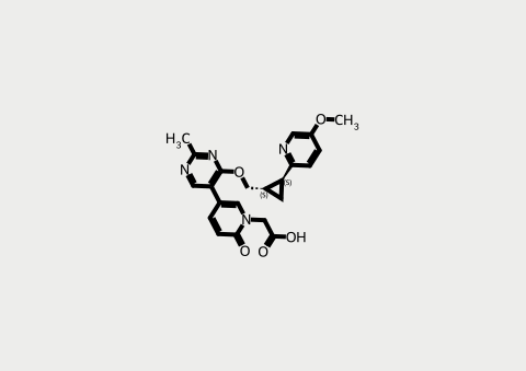 COc1ccc([C@H]2C[C@@H]2COc2nc(C)ncc2-c2ccc(=O)n(CC(=O)O)c2)nc1